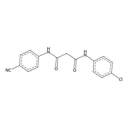 N#Cc1ccc(NC(=O)CC(=O)Nc2ccc(Cl)cc2)cc1